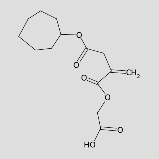 C=C(CC(=O)OC1CCCCCC1)C(=O)OCC(=O)O